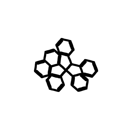 c1ccc([C](c2ccccc2)C(c2ccccc2)(c2ccccc2)c2cccc3ccccc23)cc1